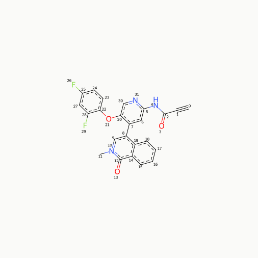 C#CC(=O)Nc1cc(-c2cn(C)c(=O)c3ccccc23)c(Oc2ccc(F)cc2F)cn1